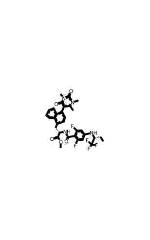 CC[C@@H](Nc1cc(F)c(C(=O)N[C@@H](Cc2ccc(-c3c(C)n(C)c(=O)n(C)c3=O)c3ccccc23)C(=O)OC)c(F)c1)C(F)(F)F